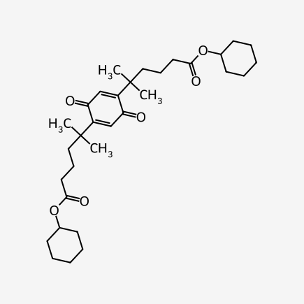 CC(C)(CCCC(=O)OC1CCCCC1)C1=CC(=O)C(C(C)(C)CCCC(=O)OC2CCCCC2)=CC1=O